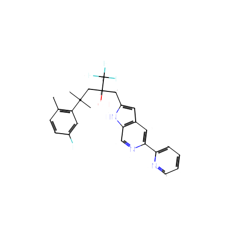 Cc1ccc(F)cc1C(C)(C)CC(O)(Cc1cc2cc(-c3ccccn3)ncc2[nH]1)C(F)(F)F